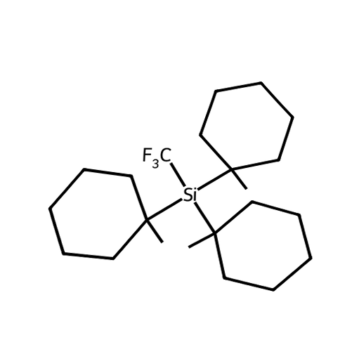 CC1([Si](C(F)(F)F)(C2(C)CCCCC2)C2(C)CCCCC2)CCCCC1